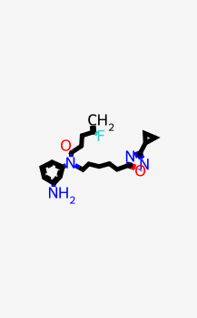 C=C(F)CCC(=O)N(CCCCCc1nc(C2CC2)no1)c1cccc(N)c1